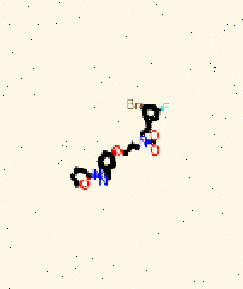 O=C1OC(c2cc(F)cc(Br)c2)CN1CCCOc1ccc2c(cnn2C2CCCCO2)c1